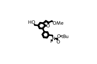 COCc1cc2cc(CO)cc(-c3cccc(CN(F)C(=O)OC(C)(C)C)c3)c2o1